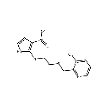 O=[N+]([O-])c1cc[nH]c1NCCSCc1ncccc1Cl